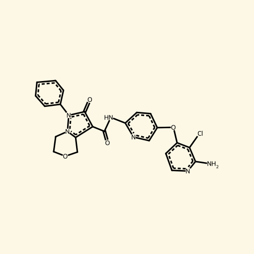 Nc1nccc(Oc2ccc(NC(=O)c3c4n(n(-c5ccccc5)c3=O)CCOC4)nc2)c1Cl